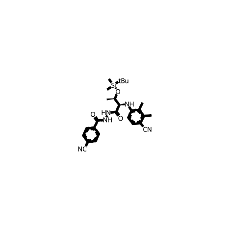 Cc1c(C#N)ccc(N[C@@H](C(=O)NNC(=O)c2ccc(C#N)cc2)[C@@H](C)O[Si](C)(C)C(C)(C)C)c1C